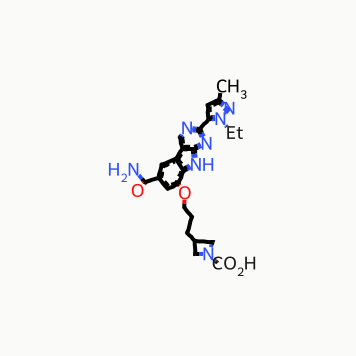 CCn1nc(C)cc1-c1ncc2c(n1)[nH]c1c(OCCCC3CN(C(=O)O)C3)cc(C(N)=O)cc12